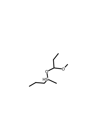 CCC[SiH](C)OC(CC)OC